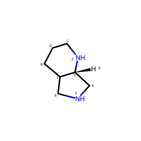 C1CN[C@@H]2CNCC2C1